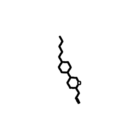 C=CCC1CCC(C2CCC(CCCCC)CC2)CO1